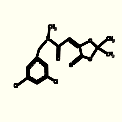 CN(Cc1cc(Cl)cc(Cl)c1)C(=O)C=C1OC(C)(C)OC1=O